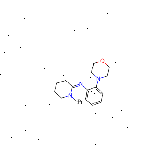 CC(C)N1CCCCC1=Nc1ccccc1N1CCOCC1